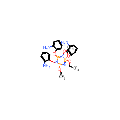 Nc1ccccc1ON1P(OCC(F)(F)F)N=P(OCC(F)(F)F)(OCC(F)(F)F)N(Oc2ccccc2N)P1Oc1ccccc1N